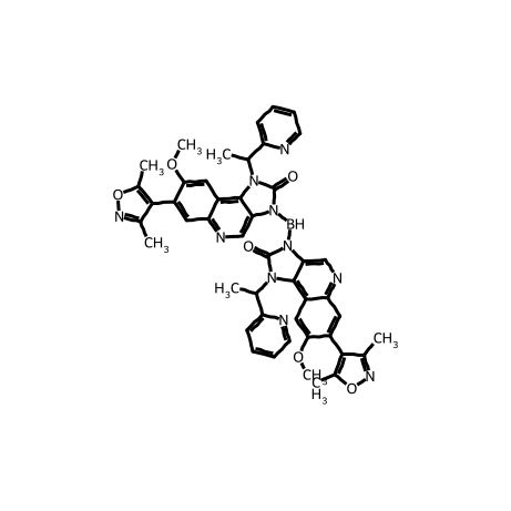 COc1cc2c(cc1-c1c(C)noc1C)ncc1c2n(C(C)c2ccccn2)c(=O)n1Bn1c(=O)n(C(C)c2ccccn2)c2c3cc(OC)c(-c4c(C)noc4C)cc3ncc21